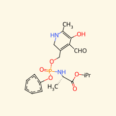 CC1=C(O)C(C=O)=C(COP(=O)(N[C@@H](C)C(=O)OC(C)C)Oc2ccccc2)CN1